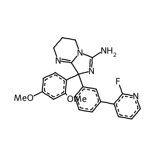 COc1ccc(C2(c3cccc(-c4cccnc4F)c3)N=C(N)N3CCCN=C32)c(OC)c1